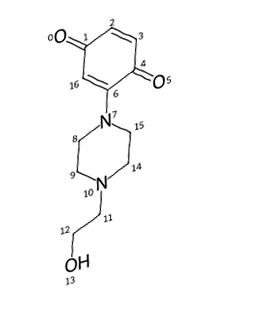 O=C1C=CC(=O)C(N2CCN(CCO)CC2)=C1